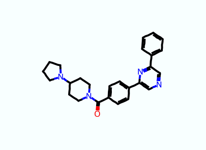 O=C(c1ccc(-c2cncc(-c3ccccc3)n2)cc1)N1CCC(N2CCCC2)CC1